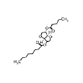 CCCCCCCC(=O)O[C@@H]1CO[C@H]2[C@@H]1OC[C@@H]2OC(=O)CCCC